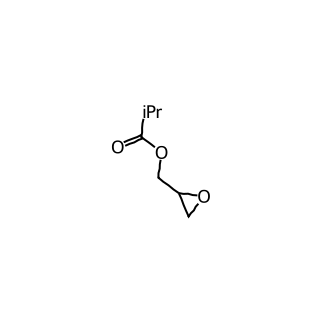 [CH2]C(C)C(=O)OCC1CO1